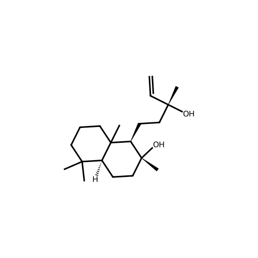 C=C[C@](C)(O)CC[C@@H]1C2(C)CCCC(C)(C)[C@@H]2CC[C@@]1(C)O